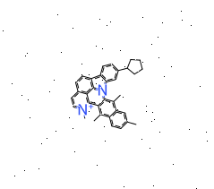 Cc1ccc2c(C)c3c(c(C)c2c1)n1c2cc(C4CCCC4)ccc2c2ccc4cc[n+](C)c3c4c21